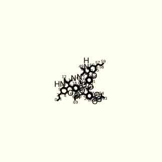 CCCC1CC(=O)C2=C(C1)NC(C)=C(C#N)C2c1ccc(OC(Br)c2ccc(S(=O)(=O)OC(C)C)cc2C(Br)Oc2ccc(C3C(C#N)=C(C)NC4=C3C(=O)CC(CCC)C4)cc2OCC)c(OCC)c1